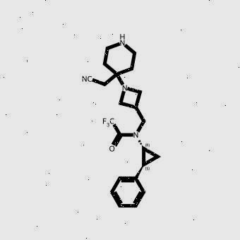 N#CCC1(N2CC(CN(C(=O)C(F)(F)F)[C@@H]3C[C@H]3c3ccccc3)C2)CCNCC1